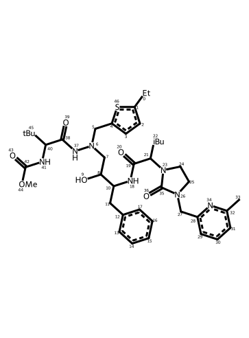 CCc1ccc(CN(CC(O)C(Cc2ccccc2)NC(=O)C(C(C)CC)N2CCN(Cc3cccc(C)n3)C2=O)NC(=O)C(NC(=O)OC)C(C)(C)C)s1